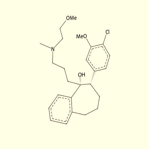 COCCN(C)CCC[C@]1(O)c2ccccc2CCC[C@H]1c1ccc(Cl)c(OC)c1